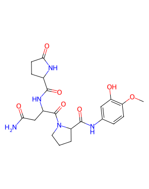 COc1ccc(NC(=O)C2CCCN2C(=O)C(CC(N)=O)NC(=O)C2CCC(=O)N2)cc1O